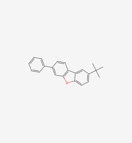 CC(C)(C)c1ccc2oc3cc(-c4ccccc4)ccc3c2c1